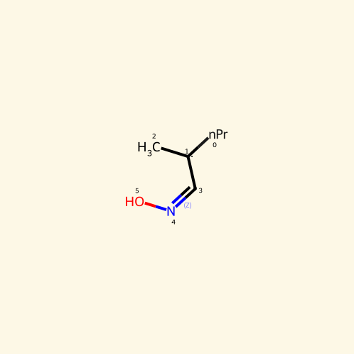 CCC[C](C)/C=N\O